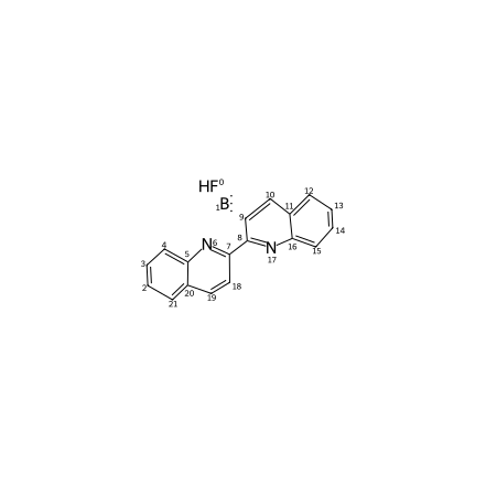 F.[B].c1ccc2nc(-c3ccc4ccccc4n3)ccc2c1